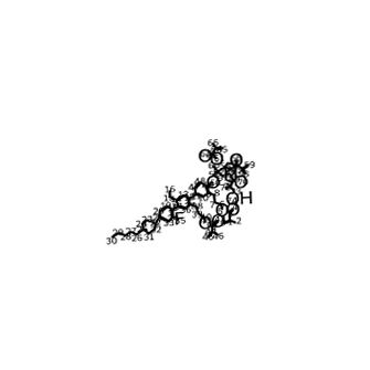 C=C(C)C(=O)OCCCc1cc(-c2cc(CC)c(-c3ccc(C4CCC(CCCCC)CC4)cc3F)cc2CCCOC(=O)C(=C)C)ccc1OCC(COC(=O)C(=C)C)(COC(=O)C(=C)C)COC(=O)C(=C)CO